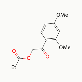 CCC(=O)OCC(=O)c1ccc(OC)cc1OC